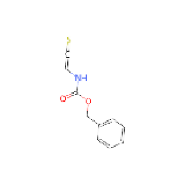 O=C(NC=C=S)OCc1ccccc1